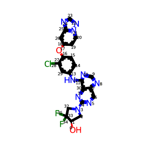 O[C@@H]1CN(c2ncc3ncnc(Nc4ccc(Oc5ccn6ncnc6c5)c(Cl)c4)c3n2)CC1(F)F